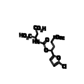 CCCCCCCCCCCCC(OC(=O)NC(CC(=O)O)C(=O)O)c1ccc(Cl)o1